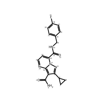 NC(=O)c1c(C2CC2)nn2c(C(=O)NCc3ccc(F)cc3)ccnc12